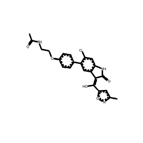 CC(=O)NCCOc1ccc(-c2cc3c(cc2Cl)NC(=O)C3=C(O)c2cc(C)no2)cc1